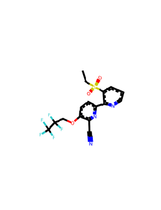 CCS(=O)(=O)c1cccnc1-c1ccc(OCC(F)(F)C(F)(F)F)c(C#N)n1